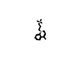 Cc1cc[n+](CCC[N+](C)(C)C)c2ccccc12